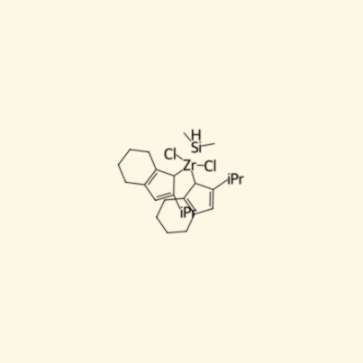 CC(C)C1=CC2=C(CCCC2)[CH]1[Zr]([Cl])([Cl])([CH]1C(C(C)C)=CC2=C1CCCC2)[SiH](C)C